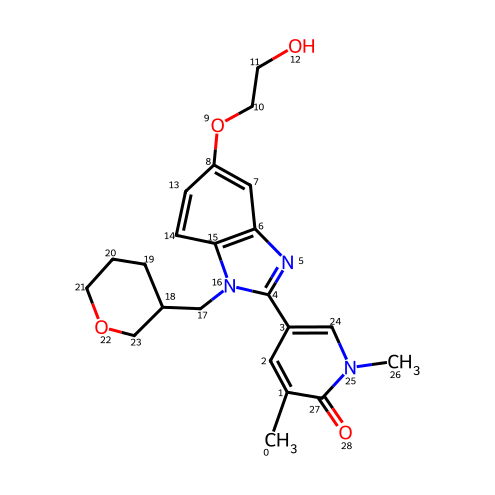 Cc1cc(-c2nc3cc(OCCO)ccc3n2CC2CCCOC2)cn(C)c1=O